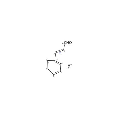 O=C/C=C/c1ccccc1.[H+]